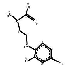 CN(CCOc1ccc(F)cc1Cl)C(=O)O